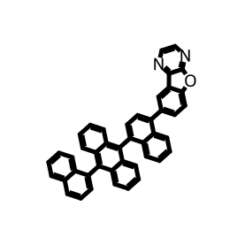 c1ccc2c(-c3c4ccccc4c(-c4ccc(-c5ccc6oc7nccnc7c6c5)c5ccccc45)c4ccccc34)cccc2c1